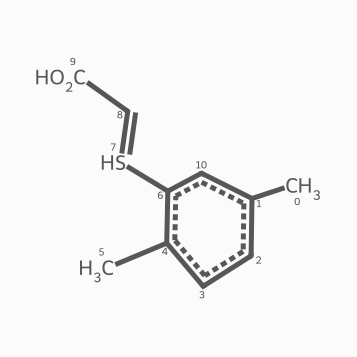 Cc1ccc(C)c([SH]=CC(=O)O)c1